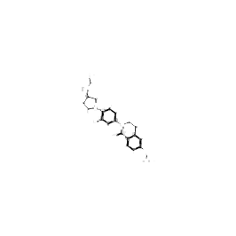 CCCCOc1ccc2c(c1)CCN(c1ccc(N3CCC(NCC(C)C)C3)c(F)c1)C2=O